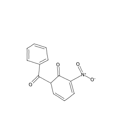 O=C1C([N+](=O)[O-])=CC=CC1C(=O)c1ccccc1